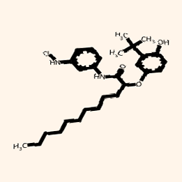 CCCCCCCCCCC(Oc1ccc(O)c(C(C)(C)C)c1)C(=O)Nc1cccc(NCl)c1